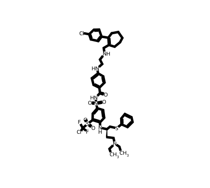 CCN(CC)CC[C@H](CSc1ccccc1)Nc1ccc(S(=O)(=O)NC(=O)c2ccc(NCCNCC3=C(c4ccc(Cl)cc4)CCCCC3)cc2)cc1S(=O)(=O)C(F)(F)Cl